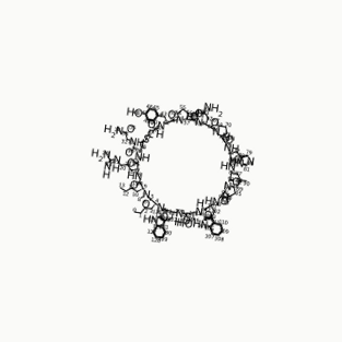 CCCC[C@H]1C(=O)N(C)[C@@H](CCCC)C(=O)N[C@@H](CCCNC(=N)N)C(=O)N[C@H](C(=O)NCC(N)=O)CSCC(=O)N[C@@H](Cc2ccc(O)cc2)C(=O)N2CCC[C@H]2C(=O)N[C@@H](CC(N)=O)C(=O)N2CCC[C@H]2C(=O)N[C@@H](Cc2cnc[nH]2)C(=O)N[C@@H](CC(C)C)C(=O)N2CCC[C@H]2C(=O)N[C@@H](Cc2c[nH]c3ccccc23)C(=O)N[C@@H](CO)C(=O)N[C@@H](Cc2c[nH]c3ccccc23)C(=O)N1C